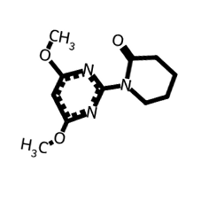 COc1cc(OC)nc(N2CCCCC2=O)n1